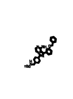 CCCCNCC1CCC(c2nc(-c3cccc(OCc4ccccc4)c3)c3c(N)nccn23)CC1